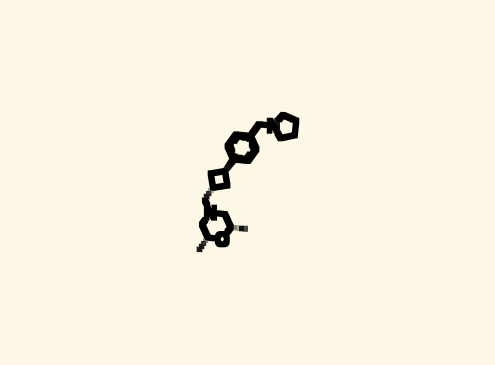 C[C@@H]1CN(C[C@H]2C[C@H](c3ccc(CN4CCCC4)cc3)C2)C[C@H](C)O1